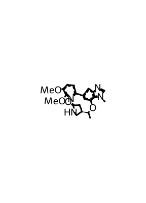 COc1ccc(-c2cc(OC(C)[C@H]3CNC(=O)C3)c3c(c2)ncn3C)nc1OC